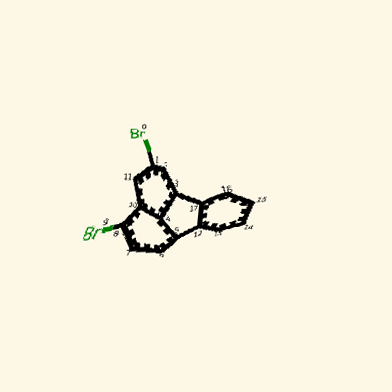 Brc1cc2c3c(ccc(Br)c3c1)-c1ccccc1-2